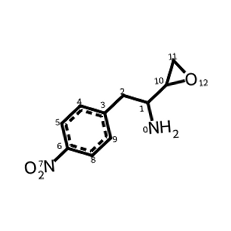 NC(Cc1ccc([N+](=O)[O-])cc1)C1CO1